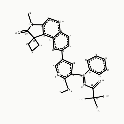 COc1ncc(-c2ccc3ncc4c(c3c2)C2(CCC2)C(=O)N4C)cc1/S(=N/C(=O)C(F)(F)F)c1ccccc1